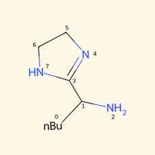 CCCCC(N)C1=NCCN1